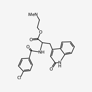 CNCCOC(=O)C(Cc1cc(=O)[nH]c2ccccc12)NC(=O)c1ccc(Cl)cc1